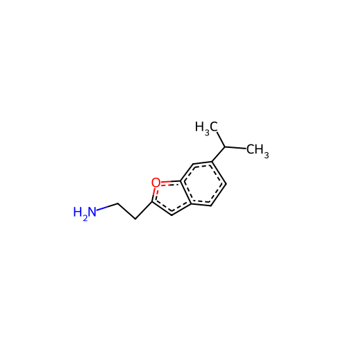 CC(C)c1ccc2cc(CCN)oc2c1